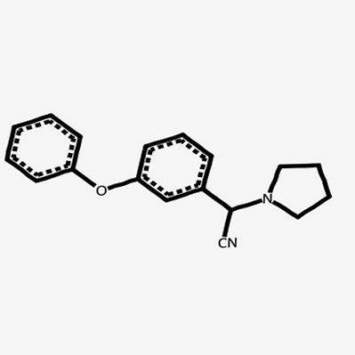 N#CC(c1cccc(Oc2ccccc2)c1)N1CCCC1